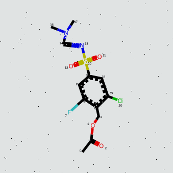 CC(=O)OCc1c(F)cc(S(=O)(=O)/N=C/N(C)C)cc1Cl